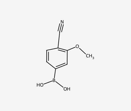 COc1cc(B(O)O)ccc1C#N